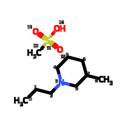 CCCN1CCCC(C)C1.CS(=O)(=O)O